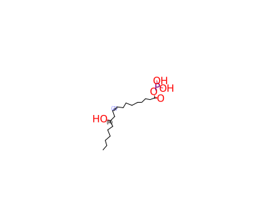 CCCCCC[C@@H](O)C/C=C\CCCCCCCC(=O)OP(O)O